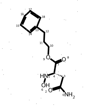 NC(=O)C[C@H](NO)C(=O)OCCCc1ccccc1